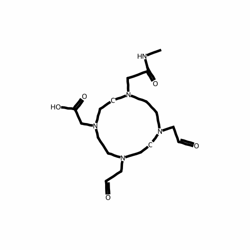 CNC(=O)CN1CCN(CC=O)CCN(CC=O)CCN(CC(=O)O)CC1